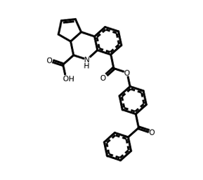 O=C(c1ccccc1)c1ccc(OC(=O)c2cccc3c2NC(C(=O)O)C2CC=CC32)cc1